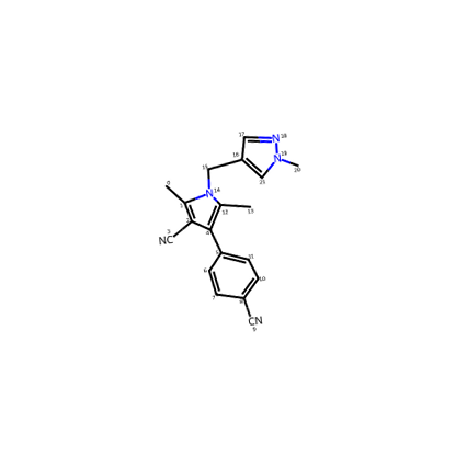 Cc1c(C#N)c(-c2ccc(C#N)cc2)c(C)n1Cc1cnn(C)c1